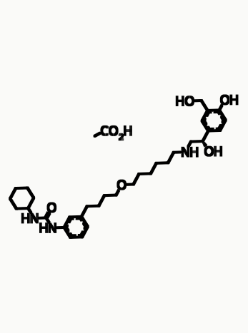 CC(=O)O.O=C(Nc1cccc(CCCCOCCCCCCNC[C@H](O)c2ccc(O)c(CO)c2)c1)NC1CCCCC1